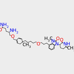 C=C1CCC(n2c(=O)n(C)c3c(CCCOCCCCCC4(C)C=CC(COCC(N)CCC(N)=O)=CC4)cccc32)C(=O)N1